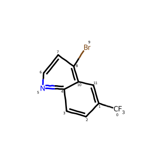 FC(F)(F)c1ccc2nccc(Br)c2c1